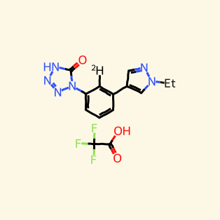 O=C(O)C(F)(F)F.[2H]c1c(-c2cnn(CC)c2)cccc1-n1nn[nH]c1=O